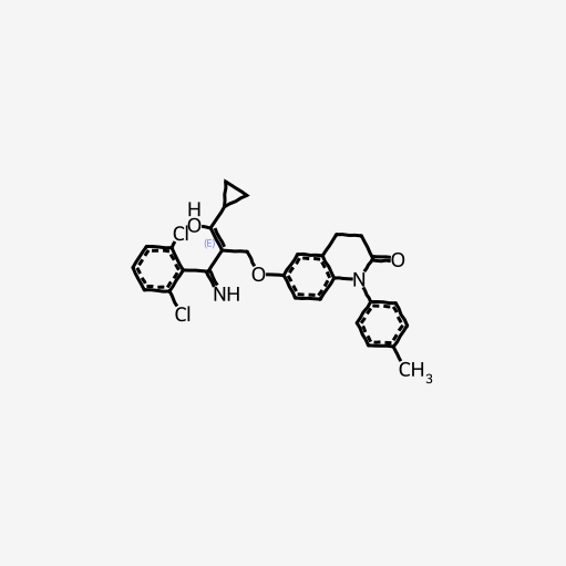 Cc1ccc(N2C(=O)CCc3cc(OC/C(C(=N)c4c(Cl)cccc4Cl)=C(/O)C4CC4)ccc32)cc1